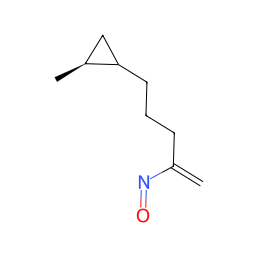 C=C(CCCC1C[C@@H]1C)N=O